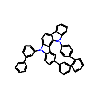 c1ccc(-c2ccc(-n3c4ccccc4c4ccc5c(c6cc(-c7ccccc7)ccc6n5-c5cccc(-c6ccccc6)c5)c43)cc2)cc1